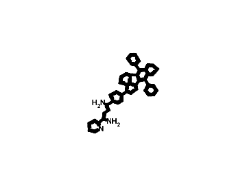 N/C(=C\C=C(/N)c1ccccn1)c1ccc(-c2ccc3c4c(cccc24)-c2c-3c(-c3ccccc3)c3ccccc3c2-c2ccccc2)cc1